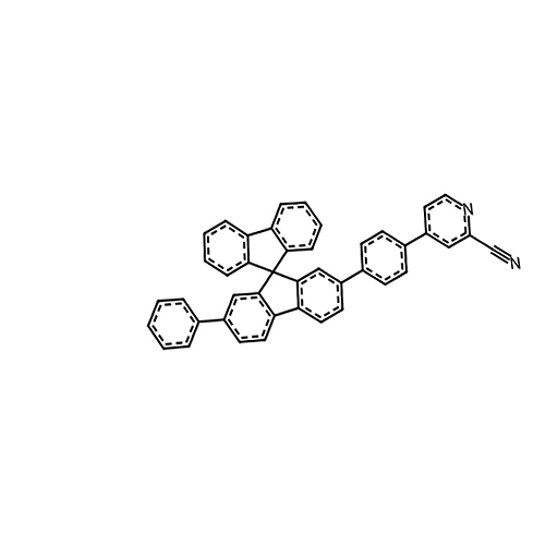 N#Cc1cc(-c2ccc(-c3ccc4c(c3)C3(c5ccccc5-c5ccccc53)c3cc(-c5ccccc5)ccc3-4)cc2)ccn1